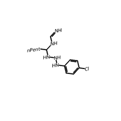 CCCCCC(NC=N)NNNc1ccc(Cl)cc1